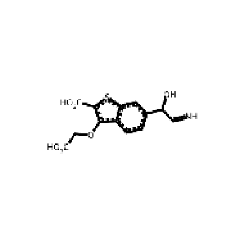 N=CC(O)c1ccc2c(OCC(=O)O)c(C(=O)O)sc2c1